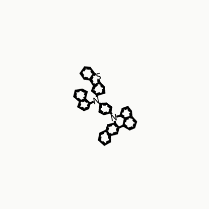 c1ccc2cc3c(cc2c1)-c1cccc2cccc(c12)N3c1ccc(N(c2ccc3sc4ccccc4c3c2)c2cccc3ccccc23)cc1